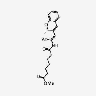 COC(=O)CCCCCC(=O)N/C(=C/C1=Cc2ccccc2O[C@H]1C)C(C)=O